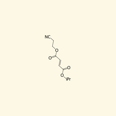 CC(C)OC(=O)/C=C/C(=O)OCCC#N